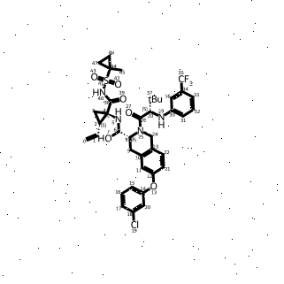 C=C[C@@H]1C[C@]1(NC(O)[C@H]1Cc2cc(Oc3cccc(Cl)c3)ccc2CN1C(=O)[C@@H](Nc1cccc(C(F)(F)F)c1)C(C)(C)C)C(=O)NS(=O)(=O)C1(C)CC1